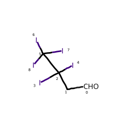 O=CCC(I)(I)C(I)(I)I